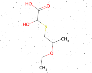 CCOC(C)CSC(O)C(=O)O